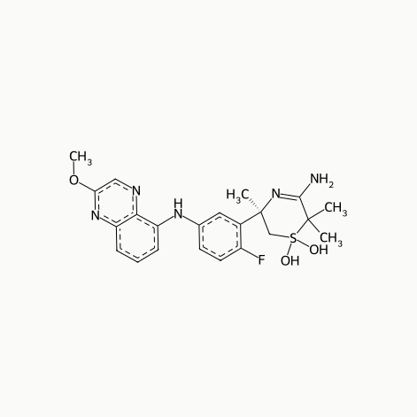 COc1cnc2c(Nc3ccc(F)c([C@]4(C)CS(O)(O)C(C)(C)C(N)=N4)c3)cccc2n1